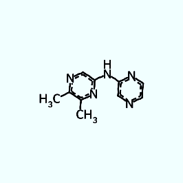 Cc1ncc(Nc2cnccn2)nc1C